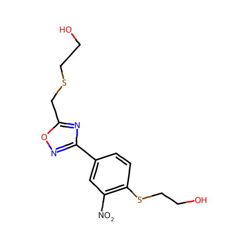 O=[N+]([O-])c1cc(-c2noc(CSCCO)n2)ccc1SCCO